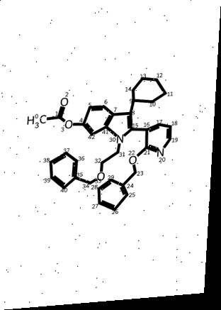 CC(=O)Oc1ccc2c(C3CCCCC3)c(-c3cccnc3OCc3ccccc3)n(CCOCc3ccccc3)c2c1